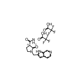 NC(=O)[C@@H]1CCN(Cc2cc3ccncc3[nH]2)C1=O.O=C(O)C(F)(F)F.O=C(O)C(F)(F)F